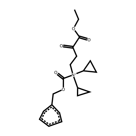 CCOC(=O)C(=O)CC[N+](C(=O)OCc1ccccc1)(C1CC1)C1CC1